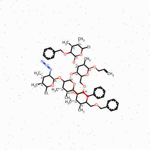 C=CCO[C@H]1OC(CO[C@@H]2OC(COCc3ccccc3)[C@@H](C)[C@H](C)C2O)[C@@H](O[C@@H]2OC(COCc3ccccc3)[C@@H](C)[C@H](C)C2O[C@H]2OC(CC)[C@@H](C)[C@H](C)C2N=[N+]=[N-])[C@H](O[C@@H]2OC(CC)[C@@H](C)[C@H](C)C2OCc2ccccc2)C1C